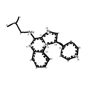 CC(C)CNc1nc2ccccc2n2c(-c3ccncc3)cnc12